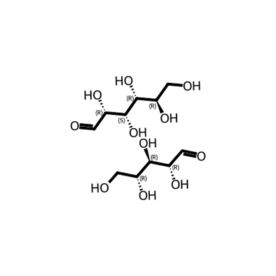 O=C[C@H](O)[C@@H](O)[C@H](O)[C@H](O)CO.O=C[C@H](O)[C@H](O)[C@H](O)CO